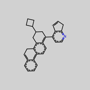 [C]1=CCc2nccc(C3=c4ccc5c(c4CC(C4CCC4)C3)CC=c3ccccc3=5)c21